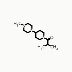 CC(C)C(=O)N1CCC(N2CCN(C)CC2)CC1